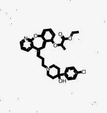 CCOC(=O)C(C)OC1C=CC=C2Oc3ncccc3C(=CCCN3CCC(O)(c4ccc(Cl)cc4)CC3)C=C21